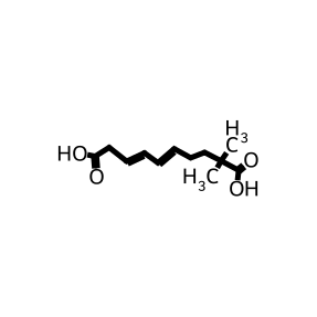 CC(C)(CCC=CC=CCC(=O)O)C(=O)O